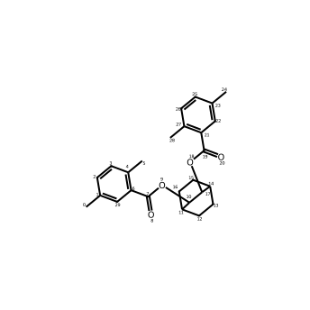 Cc1ccc(C)c(C(=O)OC2C3CCC(CC3)C2OC(=O)c2cc(C)ccc2C)c1